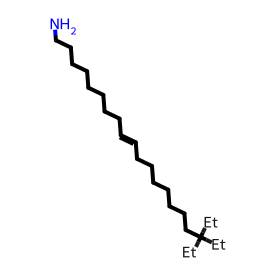 CCC(CC)(CC)CCCCCCCC=CCCCCCCCCN